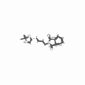 CC1(C)OC[C@@H](CCCCN2C(=O)c3ccccc3C2=O)O1